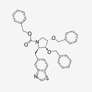 O=C(OCc1ccccc1)N1C[C@H](OCc2ccccc2)[C@@H](OCc2ccccc2)[C@H]1Cc1ccc2scnc2c1